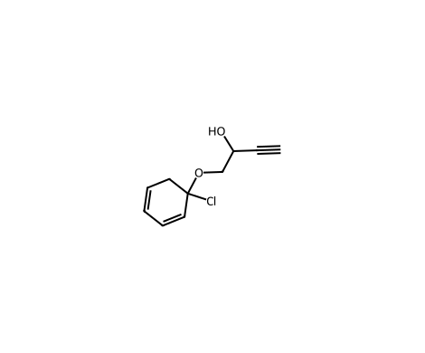 C#CC(O)COC1(Cl)C=CC=CC1